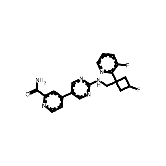 NC(=O)c1cc(-c2cnc(NCC3(c4ncccc4F)CC(F)C3)nc2)ccn1